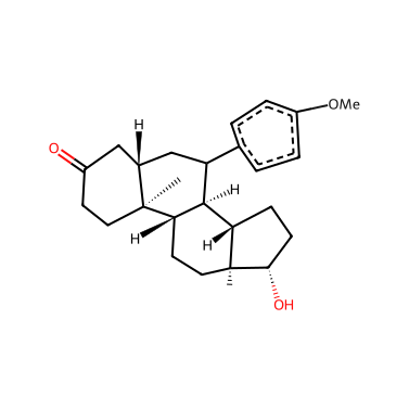 COc1ccc(C2C[C@H]3CC(=O)CC[C@]3(C)[C@H]3CC[C@]4(C)[C@@H](O)CC[C@H]4[C@H]23)cc1